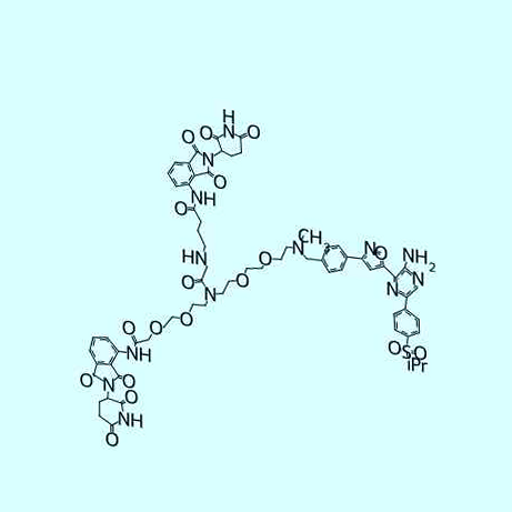 CC(C)S(=O)(=O)c1ccc(-c2cnc(N)c(-c3cc(-c4ccc(CN(C)CCOCCOCCN(CCOCCOCC(=O)Nc5cccc6c5C(=O)N(C5CCC(=O)NC5=O)C6=O)C(=O)CNCCCC(=O)Nc5cccc6c5C(=O)N(C5CCC(=O)NC5=O)C6=O)cc4)no3)n2)cc1